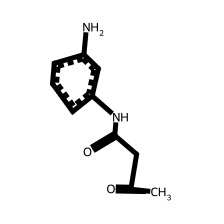 CC(=O)CC(=O)Nc1cccc(N)c1